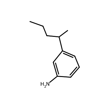 CCCC(C)c1cccc(N)c1